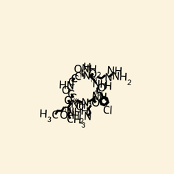 CCCC[C@H](NC(C)=O)C(=O)N[C@H]1CCC(=O)NCCC[C@@H](C(N)=O)NC(=O)[C@H](CCCNC(=N)N)NC(=O)[C@@H](Cc2ccc(Cl)cc2)NC(=O)[C@H](CCCN)NC1=O